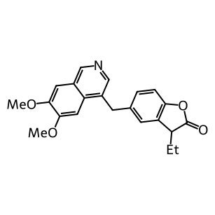 CCC1C(=O)Oc2ccc(Cc3cncc4cc(OC)c(OC)cc34)cc21